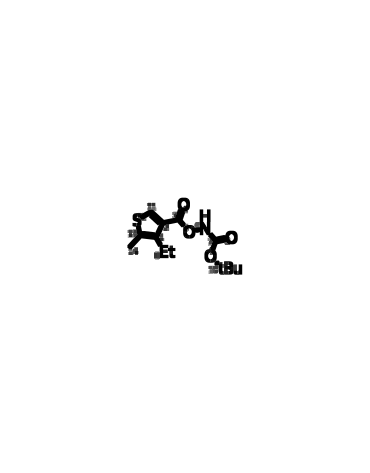 CCc1c(C(=O)ONC(=O)OC(C)(C)C)csc1C